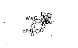 CCCCN1CCC(Oc2ccc(C(=O)N(CCC)c3ccc(Oc4ccc(NC(=O)NC(CC)CC)cc4OC)cc3)cc2)CC1